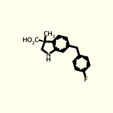 C[C@@]1(C(=O)O)CNc2cc(Cc3ccc(F)cc3)ccc21